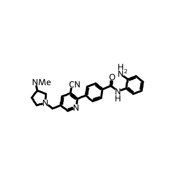 CNC1CCN(Cc2cnc(-c3ccc(C(=O)Nc4ccccc4N)cc3)c(C#N)c2)C1